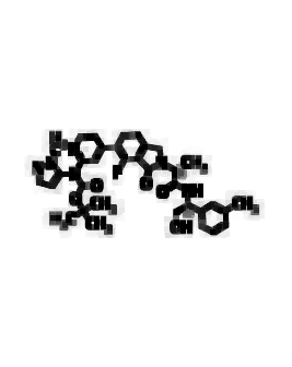 Cc1cccc([C@@H](CO)NC(=O)[C@@H](C)N2Cc3ccc(-c4ccnc(N(C(=O)OC(C)(C)C)c5ccnn5C)c4)c(F)c3C2=O)c1